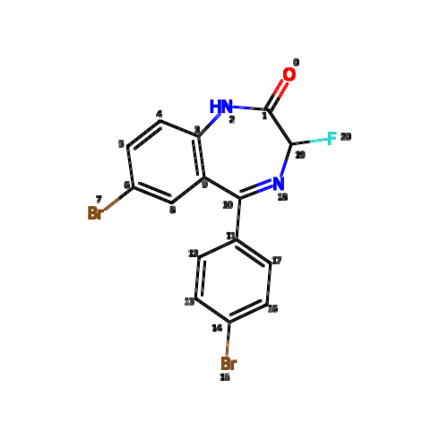 O=C1Nc2ccc(Br)cc2C(c2ccc(Br)cc2)=NC1F